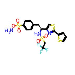 NOS(=O)(=O)c1ccc(C[C@H](NS(=O)(=O)CC(F)(F)F)c2csc(-c3cccs3)n2)cc1